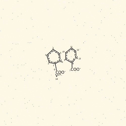 O=C([O-])c1ccccn1.O=C([O-])c1ccccn1.[V+2]